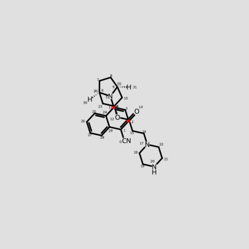 N#Cc1ccc(N2[C@@H]3CC[C@H]2C[C@@H](OC(=O)CCN2CCNCC2)C3)c2ccccc12